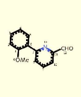 COc1ccccc1-c1cccc(C=O)n1